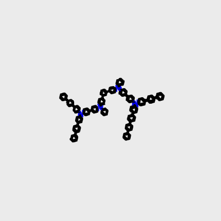 c1ccc(-c2ccc(-c3ccc(-c4ccc(N(c5ccc(-c6ccc(-c7ccccc7)cc6)cc5)c5ccc(-c6ccc(N(c7ccccc7)c7ccc(-c8cccc(-c9ccc(N(c%10ccccc%10)c%10ccc(-c%11ccc(N(c%12ccc(-c%13ccc(-c%14ccccc%14)cc%13)cc%12)c%12ccc(-c%13ccc(-c%14ccccc%14)cc%13)cc%12)cc%11)cc%10)cc9)c8)cc7)cc6)cc5)cc4)cc3)cc2)cc1